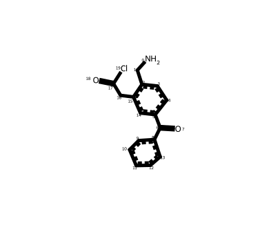 NCc1ccc(C(=O)c2ccccc2)cc1CC(=O)Cl